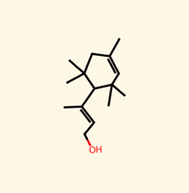 CC1=CC(C)(C)C(C(C)=CCO)C(C)(C)C1